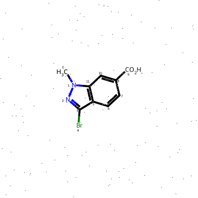 Cn1nc(Br)c2ccc(C(=O)O)cc21